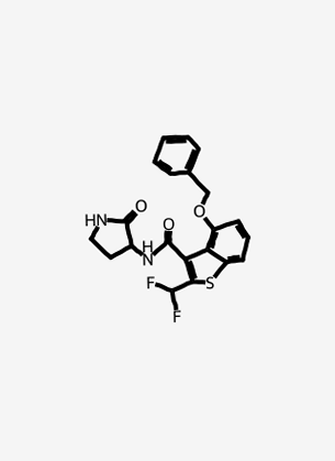 O=C(NC1CCNC1=O)c1c(C(F)F)sc2cccc(OCc3ccccc3)c12